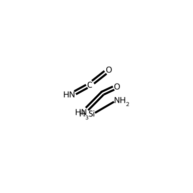 N=C=O.N=C=O.N[SiH3]